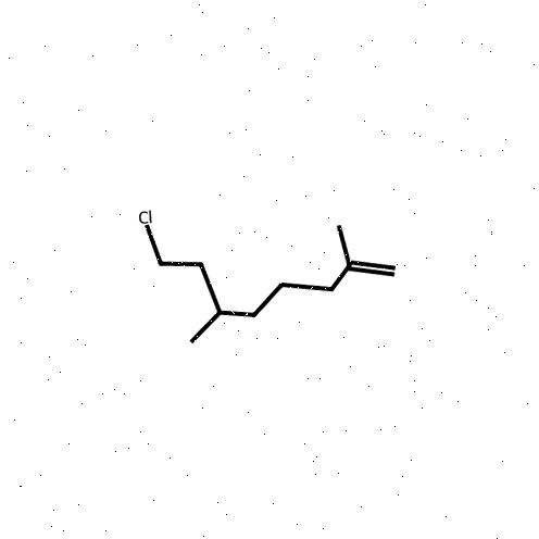 C=C(C)CCCC(C)CCCl